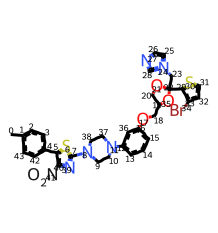 Cc1ccc(-c2sc(N3CCN(c4cccc(OCC5COC(Cn6ccnc6)(c6sccc6Br)O5)c4)CC3)nc2[N+](=O)[O-])cc1